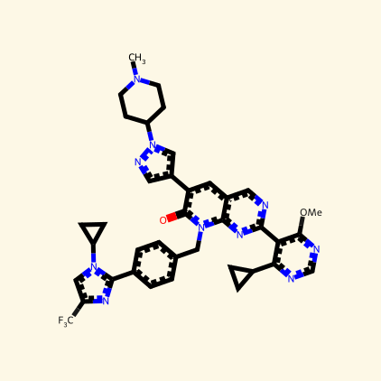 COc1ncnc(C2CC2)c1-c1ncc2cc(-c3cnn(C4CCN(C)CC4)c3)c(=O)n(Cc3ccc(-c4nc(C(F)(F)F)cn4C4CC4)cc3)c2n1